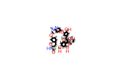 CN(CCOc1ccc(CC2SC(=O)NC2=O)cc1)c1ccccn1.O=C(O)/C=C\C(=O)O.O=c1c(O)c(-c2ccc(O)c(O)c2)oc2cc(O)cc(O)c12